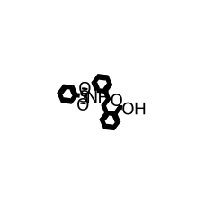 O=C(O)c1ccccc1CCc1ccccc1NS(=O)(=O)c1ccccc1